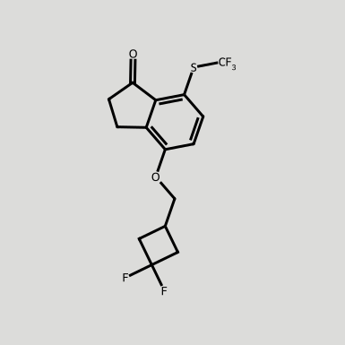 O=C1CCc2c(OCC3CC(F)(F)C3)ccc(SC(F)(F)F)c21